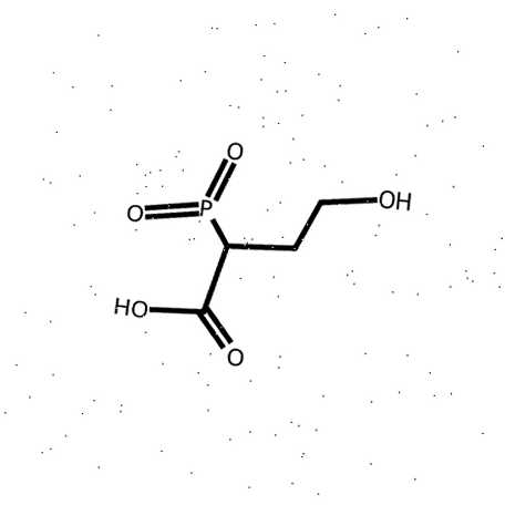 O=C(O)C(CCO)P(=O)=O